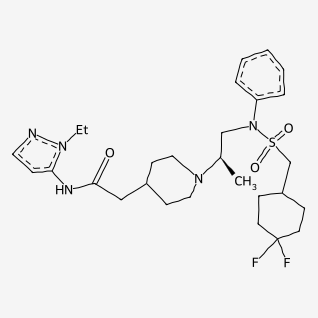 CCn1nccc1NC(=O)CC1CCN([C@H](C)CN(c2ccccc2)S(=O)(=O)CC2CCC(F)(F)CC2)CC1